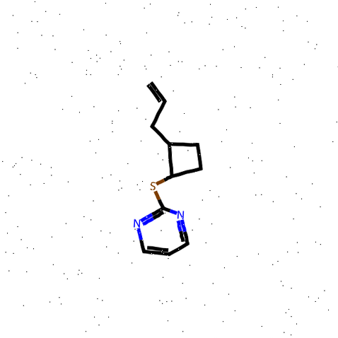 C=CCC1CCC1Sc1ncccn1